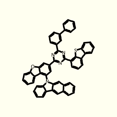 c1ccc(-c2cccc(-c3nc(-c4cc(-n5c6ccccc6c6cc7ccccc7cc65)c5c(c4)oc4ccccc45)nc(-c4cccc5c4sc4ccccc45)n3)c2)cc1